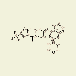 FC(F)(F)c1ccnc(NC2CCC(Oc3nc(N4CCOCC4)cc4ncccc34)CC2)n1